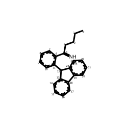 CCCCC(=N)c1ccccc1C1c2ccccc2-c2ccccc21